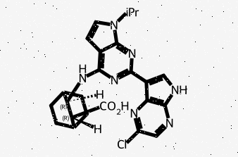 CC(C)n1ccc2c(N[C@@H]3C4CCC(CC4)[C@H]3C(=O)O)nc(-c3c[nH]c4ncc(Cl)nc34)nc21